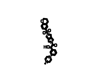 CN1CCN(c2cccc([C@H](O)C(=O)N3CC4=C(C3)CN(S(=O)(=O)c3ccc5c(c3)CCCO5)C4)c2)CC1